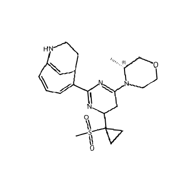 C[C@@H]1COCCN1C1=NC(C2=CC=CC3=CC2CCN3)=NC(C2(S(C)(=O)=O)CC2)C1